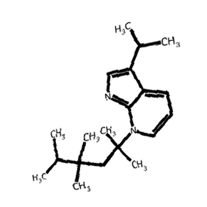 CC(C)c1cnc2n(C(C)(C)CC(C)(C)C(C)C)cccc1-2